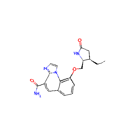 CC[C@@H]1CC(=O)N[C@@H]1COc1cccc2cc(C(N)=O)c3nccn3c12